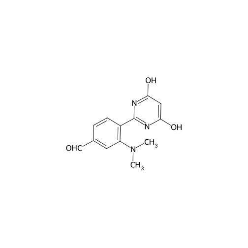 CN(C)c1cc(C=O)ccc1-c1nc(O)cc(O)n1